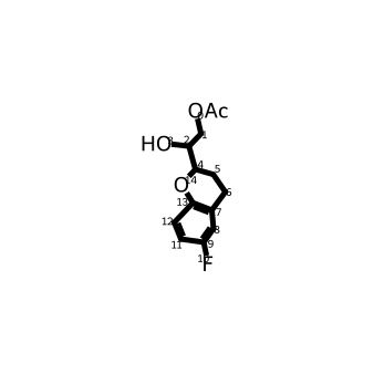 CC(=O)OCC(O)C1CCc2cc(F)ccc2O1